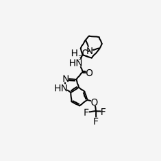 CN1C2CCCC1CC(NC(=O)c1n[nH]c3ccc(OC(F)(F)F)cc13)C2